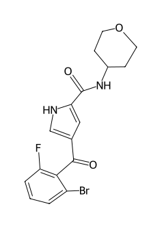 O=C(NC1CCOCC1)c1cc(C(=O)c2c(F)cccc2Br)c[nH]1